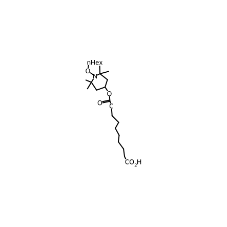 CCCCCCON1C(C)(C)CC(OC(=O)CCCCCCCCC(=O)O)CC1(C)C